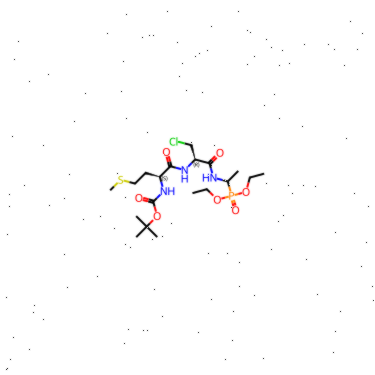 CCOP(=O)(OCC)C(C)NC(=O)[C@H](CCl)NC(=O)[C@H](CCSC)NC(=O)OC(C)(C)C